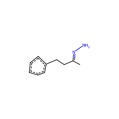 CC(CCc1ccccc1)=NN